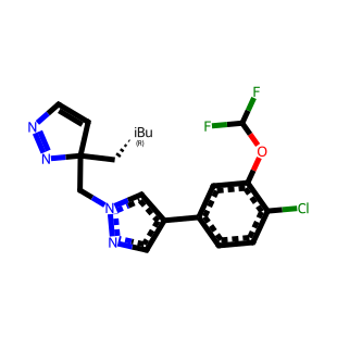 CC[C@@H](C)CC1(Cn2cc(-c3ccc(Cl)c(OC(F)F)c3)cn2)C=CN=N1